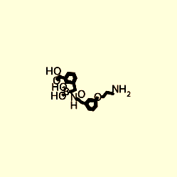 NCCCOc1cccc(CC(=O)NC(Cc2cccc(C(=O)O)c2)B(O)O)c1